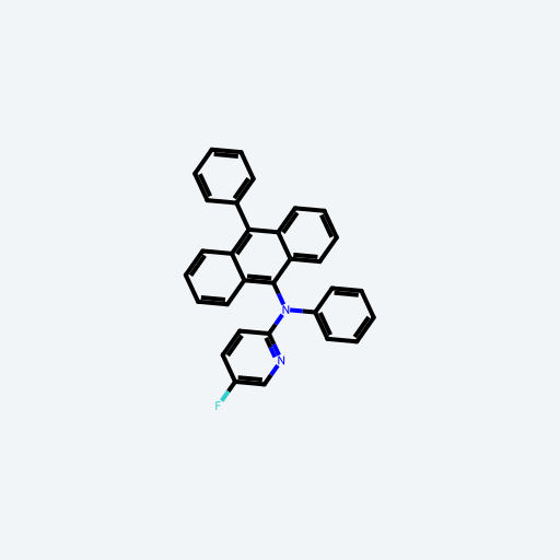 Fc1ccc(N(c2ccccc2)c2c3ccccc3c(-c3ccccc3)c3ccccc23)nc1